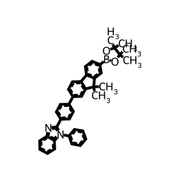 CC1(C)c2cc(B3OC(C)(C)C(C)(C)O3)ccc2-c2ccc(-c3ccc(-c4nc5ccccc5n4-c4ccccc4)cc3)cc21